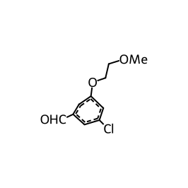 COCCOc1cc(Cl)cc(C=O)c1